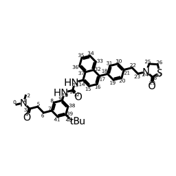 CN(C)C(=O)CCc1cc(NC(=O)Nc2ccc(-c3ccc(CCN4CCSC4=O)cc3)c3ccccc23)cc(C(C)(C)C)c1